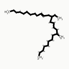 [CH2]CCCCCCCCC=CCC(CC)CCCCC(C)CCCCCCC[CH2]